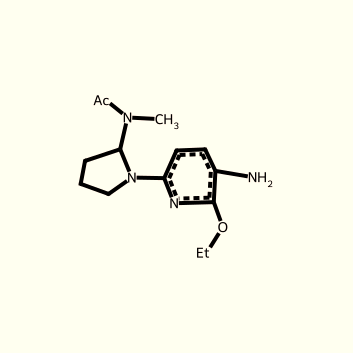 CCOc1nc(N2CCCC2N(C)C(C)=O)ccc1N